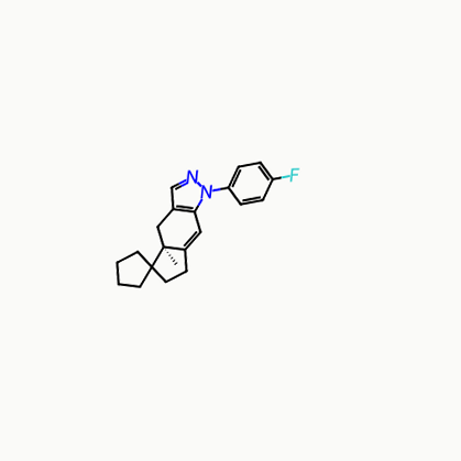 C[C@]12Cc3cnn(-c4ccc(F)cc4)c3C=C1CCC21CCCC1